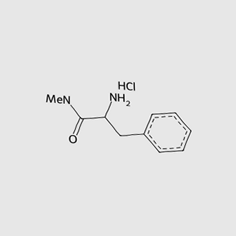 CNC(=O)C(N)Cc1ccccc1.Cl